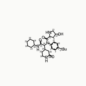 CC(C)(C)c1ccc(N(C(=O)C2CC(O)CN2)C(C(=O)NC2CCCCC2)C2CCNC(=O)C2)cc1